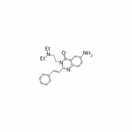 CCN(CC)CCn1c(C=Cc2ccccc2)nc2ccc(N)cc2c1=O